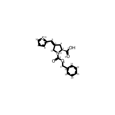 O=C(O)[C@@H]1C/C(=C/c2cccs2)CN1C(=O)OCc1ccccc1